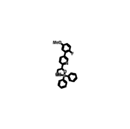 COc1ccc(F)c(-c2ccc(C(CO)O[Si](c3ccccc3)(c3ccccc3)C(C)(C)C)nc2)c1